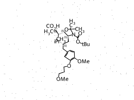 COCCCOc1cc(C[C@@H](C[C@H]2[C@H](C(C)[C@H](C)C(=O)O)OC(C)(C)N2C(=O)OC(C)(C)C)C(C)C)ccc1OC